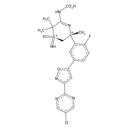 CC1(C)C(NC(=O)O)=N[C@](C)(c2cc(-c3cc(-c4ncc(Cl)cn4)no3)ccc2F)C[S@@]1(=N)=O